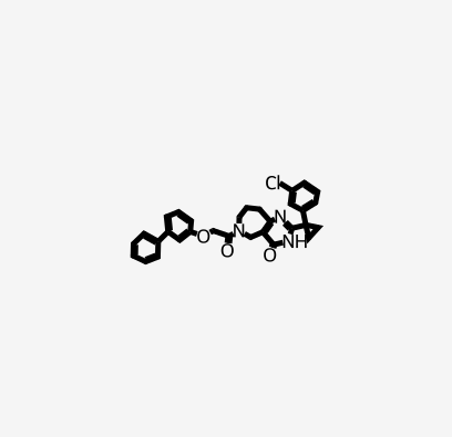 O=C(COc1cccc(-c2ccccc2)c1)N1CCCc2nc(C3(c4cccc(Cl)c4)CC3)[nH]c(=O)c2C1